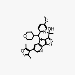 COc1ccc(C(C2CCOCC2)n2c3cc(-c4c(C)noc4C)cnc3c3onc(C(C)(C)O)c32)nc1